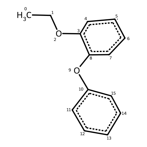 CCOc1c[c]ccc1Oc1ccccc1